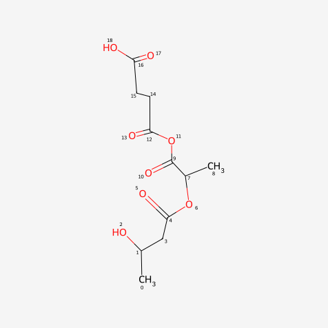 CC(O)CC(=O)OC(C)C(=O)OC(=O)CCC(=O)O